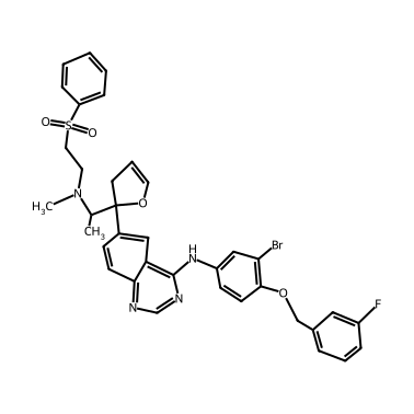 CC(N(C)CCS(=O)(=O)c1ccccc1)C1(c2ccc3ncnc(Nc4ccc(OCc5cccc(F)c5)c(Br)c4)c3c2)CC=CO1